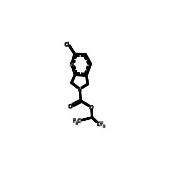 O=C(OC(C(F)(F)F)C(F)(F)F)N1Cc2ccc(Cl)nc2C1